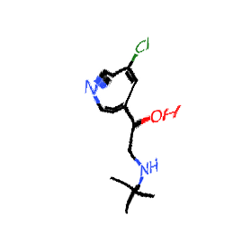 CC(C)(C)NCC(O)c1cncc(Cl)c1